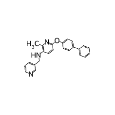 Cc1nc(Oc2ccc(-c3ccccc3)cc2)ccc1NCc1cccnc1